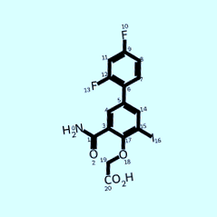 NC(=O)c1cc(-c2ccc(F)cc2F)cc(I)c1OCC(=O)O